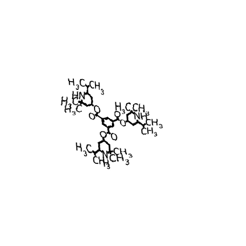 CC(C)C1CC(OC(=O)c2cc(C(=O)OC3CC(C(C)C)NC(C)(C)C3)cc(C(=O)OC3CC(C(C)C)NC(C)(C)C3)c2)CC(C)(C)N1